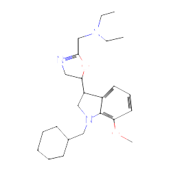 CCN(CC)CC1=NCC(C2CN(CC3CCCCC3)c3c(OC)cccc32)O1